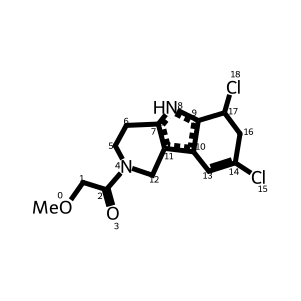 COCC(=O)N1CCc2[nH]c3c(c2C1)C=C(Cl)CC3Cl